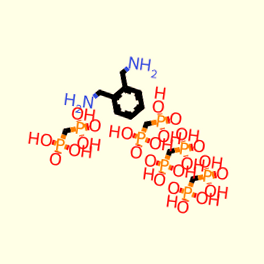 NCc1ccccc1CN.O=P(O)(O)CP(=O)(O)O.O=P(O)(O)CP(=O)(O)O.O=P(O)(O)CP(=O)(O)O.O=P(O)(O)CP(=O)(O)O